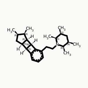 C[C@H]1[C@@H]2[C@H](C[C@H]1C)[C@@H]1c3cccc(CCN4[C@H](C)[C@H](C)C[C@H](C)[C@@H]4C)c3[C@@H]12